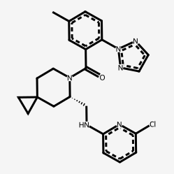 Cc1ccc(-n2nccn2)c(C(=O)N2CCC3(CC3)C[C@H]2CNc2cccc(Cl)n2)c1